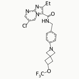 CCc1nc2ncc(Cl)cn2c1C(=O)NCc1ccc(N2CC3(CC(OC(F)(F)F)C3)C2)cc1